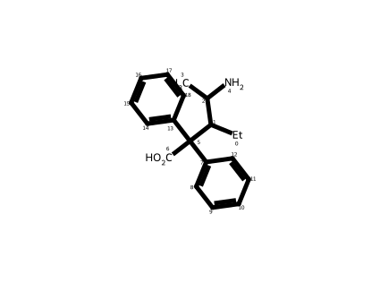 CCC(C(C)N)C(C(=O)O)(c1ccccc1)c1ccccc1